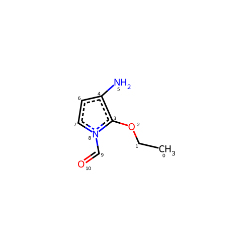 CCOc1c(N)ccn1C=O